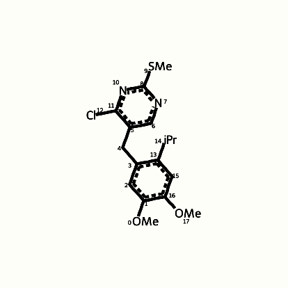 COc1cc(Cc2cnc(SC)nc2Cl)c(C(C)C)cc1OC